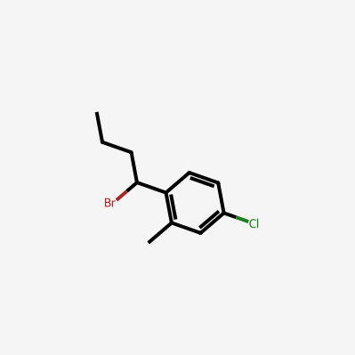 CCCC(Br)c1ccc(Cl)cc1C